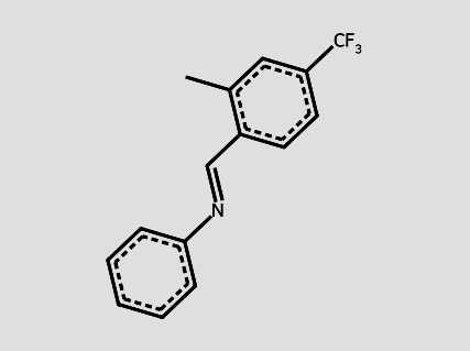 Cc1cc(C(F)(F)F)ccc1/C=N/c1ccccc1